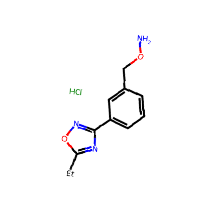 CCc1nc(-c2cccc(CON)c2)no1.Cl